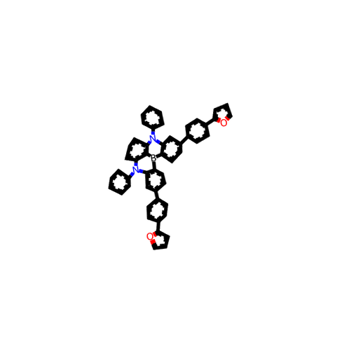 c1ccc(N2c3cc(-c4ccc(-c5ccco5)cc4)ccc3B3c4ccc(-c5ccc(-c6ccco6)cc5)cc4N(c4ccccc4)c4cccc2c43)cc1